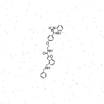 Nc1ccccc1NC(=O)c1ccc(OCCNC(=O)c2cc3c(CNCc4ccccc4)cccc3o2)cc1